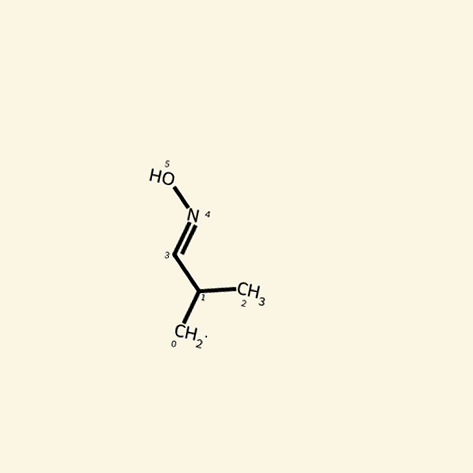 [CH2]C(C)/C=N/O